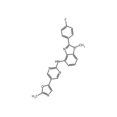 Cc1ncc(-c2cnc(Nc3cccc4c3nc(-c3ccc(F)cc3)n4C)nc2)o1